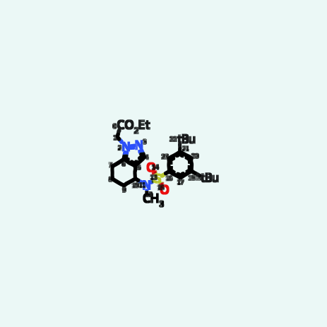 CCOC(=O)Cn1ncc2c1CCCC2N(C)S(=O)(=O)c1cc(C(C)(C)C)cc(C(C)(C)C)c1